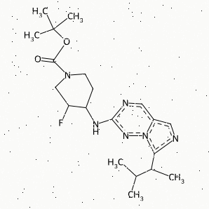 CC(C)C(C)c1ncc2cnc(NC3CCN(C(=O)OC(C)(C)C)CC3F)nn12